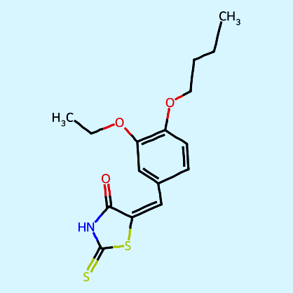 CCCCOc1ccc(C=C2SC(=S)NC2=O)cc1OCC